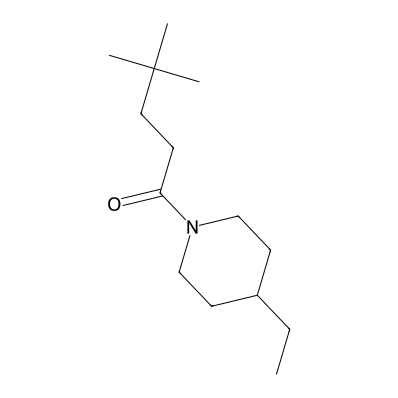 CCC1CCN(C(=O)CCC(C)(C)C)CC1